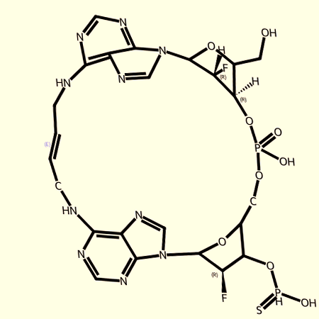 O=P1(O)OCC2OC([C@H](F)C2O[PH](O)=S)n2cnc3c(ncnc32)NC/C=C/CNc2ncnc3c2ncn3C2OC(CO)[C@@H](O1)[C@H]2F